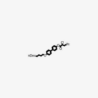 CCCCCCCCCCCCCCOc1ccc(-c2ccc(OC(=O)C(Cl)CC(C)C)cc2)cc1